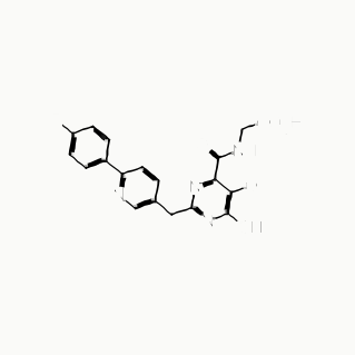 Cc1nc(Cc2ccc(-c3ccc(F)cc3)nc2)nc(C(=O)NCC(=O)O)c1O